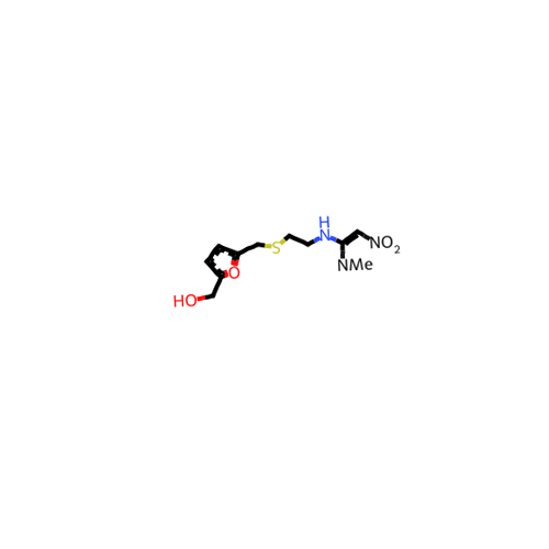 CN/C(=C\[N+](=O)[O-])NCCSCc1ccc(CO)o1